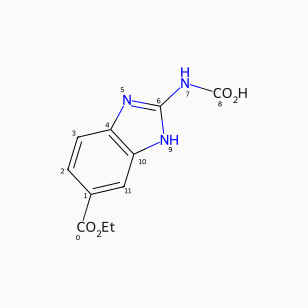 CCOC(=O)c1ccc2nc(NC(=O)O)[nH]c2c1